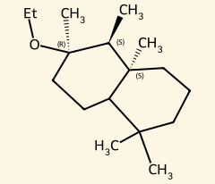 CCO[C@]1(C)CCC2C(C)(C)CCC[C@]2(C)[C@@H]1C